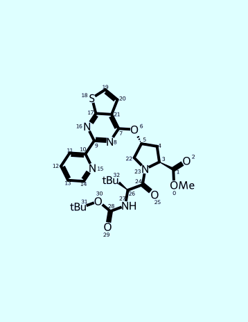 COC(=O)[C@@H]1C[C@@H](Oc2nc(-c3ccccn3)nc3sccc23)CN1C(=O)[C@@H](NC(=O)OC(C)(C)C)C(C)(C)C